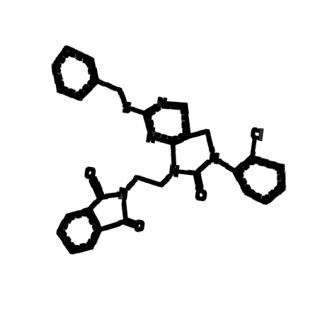 O=C1c2ccccc2C(=O)N1CCN1C(=O)N(c2ccccc2Cl)Cc2cnc(SCc3ccccc3)nc21